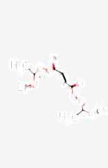 CCOC(C)OOC(=O)C=CC(=O)OOC(C)OCC